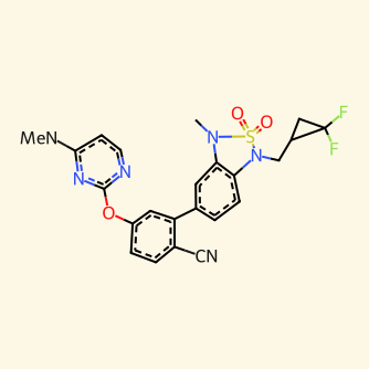 CNc1ccnc(Oc2ccc(C#N)c(-c3ccc4c(c3)N(C)S(=O)(=O)N4CC3CC3(F)F)c2)n1